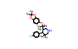 [2H]C1([2H])Oc2ccc(OC([2H])([2H])[C@@]3([2H])CNCC([2H])([2H])C3c3ccc(F)cc3)cc2O1